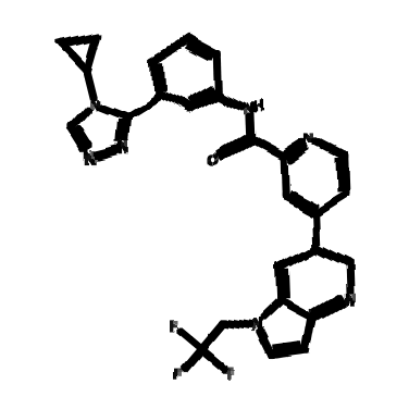 O=C(Nc1cccc(-c2nncn2C2CC2)c1)c1cc(C2C=c3c(ccn3CC(F)(F)F)=NC2)ccn1